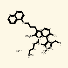 CCOC(=O)c1c(CCCOc2cccc3ccccc23)c2ccc(Cl)c(-c3c(CCl)nn(C)c3CC)c2n1CCCCNC.Cl